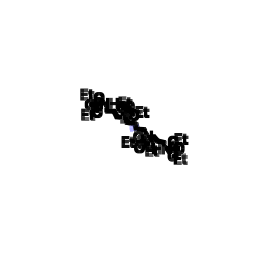 CCOP(=O)(NCCCN(C/C=C/CN(CCCNP(=O)(OCC)OCC)P(=O)(OCC)OCC)P(=O)(OCC)OCC)OCC